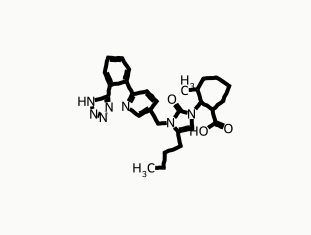 CCCCc1cn(C2C(C)CCCCC2C(=O)O)c(=O)n1Cc1ccc(-c2ccccc2-c2nnn[nH]2)nc1